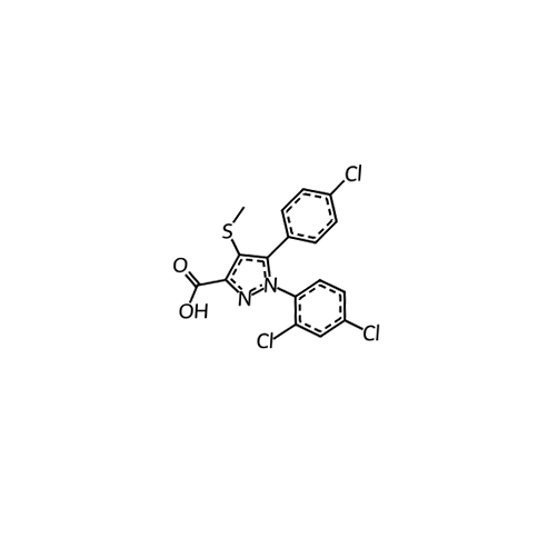 CSc1c(C(=O)O)nn(-c2ccc(Cl)cc2Cl)c1-c1ccc(Cl)cc1